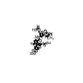 Cc1cn([C@H]2C[C@@H](NC(=O)c3ccc4c(c3)C3(OC4=O)c4ccc(OC(=O)C(C)(C)C)cc4Oc4cc(OC(=O)C(C)(C)C)ccc43)[C@@H](CO[PH](=O)O)O2)c(=O)[nH]c1=O